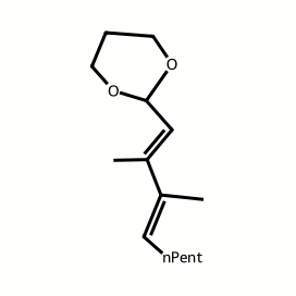 CCCCC/C=C(C)/C(C)=C/C1OCCCO1